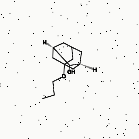 CCCOC12CC3C[C@H](C1)C(O)[C@@H](C3)C2